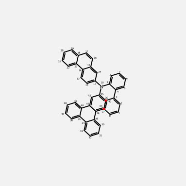 c1ccc(-c2ccccc2N(c2ccc3c(ccc4ccccc43)c2)c2ccc3c4ccccc4c4ccccc4c3c2)cc1